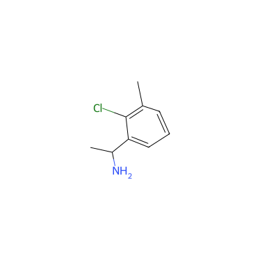 Cc1cccc(C(C)N)c1Cl